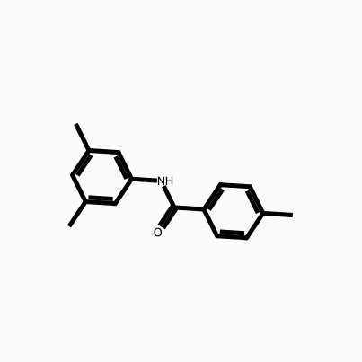 Cc1ccc(C(=O)Nc2cc(C)cc(C)c2)cc1